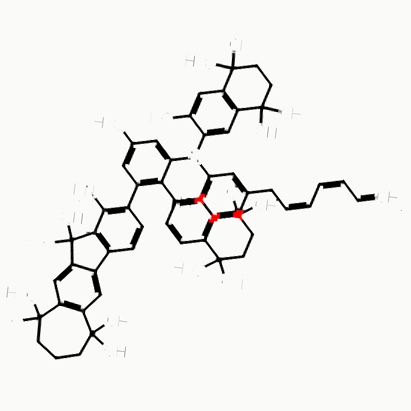 C=C/C=C\C=C/Cc1ccc(S)c(N(c2cc3c(cc2C)C(C)(C)CCC3(C)C)c2cc(C)cc(-c3ccc4c(c3N)C(C)(C)c3cc5c(cc3-4)C(C)(C)CCCC5(C)C)c2-c2ccc3c(c2)C(C)(C)CCC3(C)C)c1